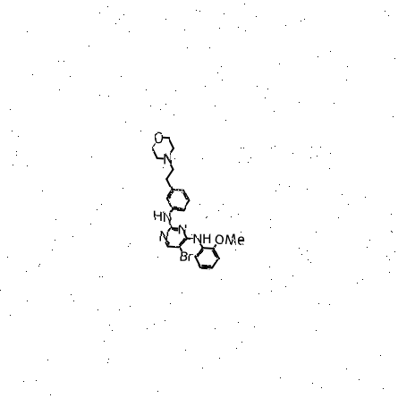 COc1ccccc1Nc1nc(Nc2cccc(CCN3CCOCC3)c2)ncc1Br